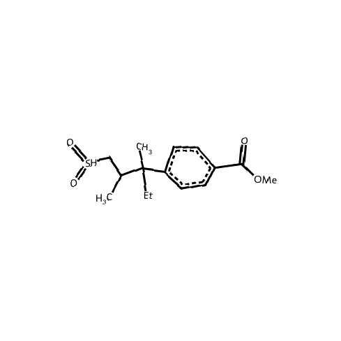 CCC(C)(c1ccc(C(=O)OC)cc1)C(C)C[SH](=O)=O